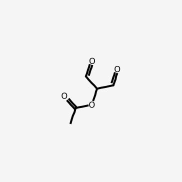 CC(=O)OC(C=O)C=O